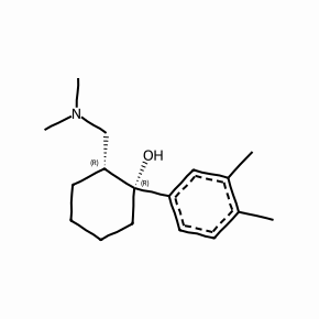 Cc1ccc([C@@]2(O)CCCC[C@@H]2CN(C)C)cc1C